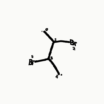 [CH2]C(Br)C([CH2])Br